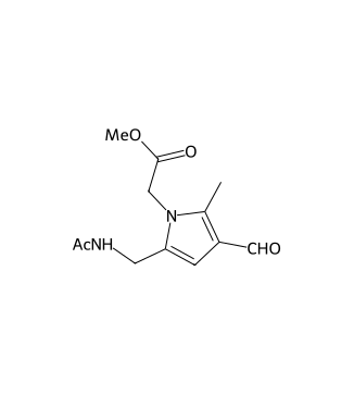 COC(=O)Cn1c(CNC(C)=O)cc(C=O)c1C